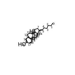 CCCCCC=C1CC[C@H]2[C@@H]3CCc4cc(O)ccc4[C@H]3CC[C@]12C